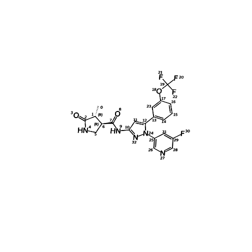 C[C@H]1C(=O)NC[C@@H]1C(=O)Nc1cc(-c2cccc(OC(F)(F)F)c2)n(-c2cncc(F)c2)n1